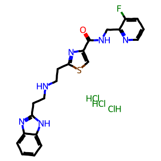 Cl.Cl.Cl.O=C(NCc1ncccc1F)c1csc(CCNCCc2nc3ccccc3[nH]2)n1